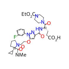 CCOC(=O)N1CCN(C(=O)[C@H](CCC(=O)O)NC(=O)c2cc(OCC(=O)N3CCC[C@@]3(C(=O)NC)C3CC3)n(-c3cccc(F)c3)n2)CC1